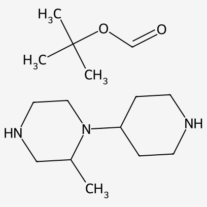 CC(C)(C)OC=O.CC1CNCCN1C1CCNCC1